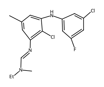 CCN(C)C=Nc1cc(C)cc(Nc2cc(F)cc(Cl)c2)c1Cl